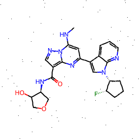 CNc1cc(-c2cn([C@@H]3CCC[C@@H]3F)c3ncccc23)nc2c(C(=O)N[C@H]3COCC3O)cnn12